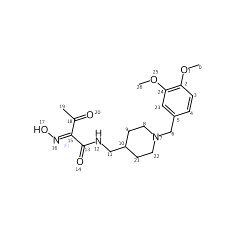 COc1ccc(CN2CCC(CNC(=O)/C(=N/O)C(C)=O)CC2)cc1OC